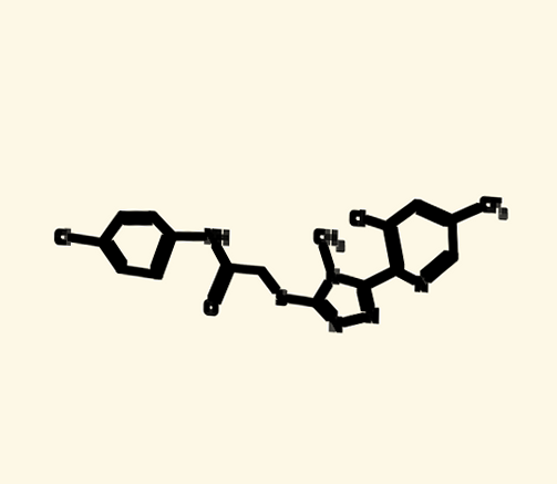 Cn1c(SCC(=O)Nc2ccc(Cl)cc2)nnc1-c1ncc(C(F)(F)F)cc1Cl